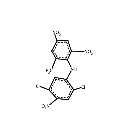 O=[N+]([O-])c1cc([N+](=O)[O-])c(Nc2cc(Cl)c([N+](=O)[O-])cc2Cl)c(C(F)(F)F)c1